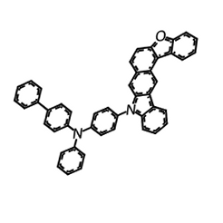 c1ccc(-c2ccc(N(c3ccccc3)c3ccc(-n4c5ccccc5c5cc6c(ccc7oc8ccccc8c76)cc54)cc3)cc2)cc1